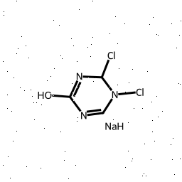 OC1=NC(Cl)N(Cl)C=N1.[NaH]